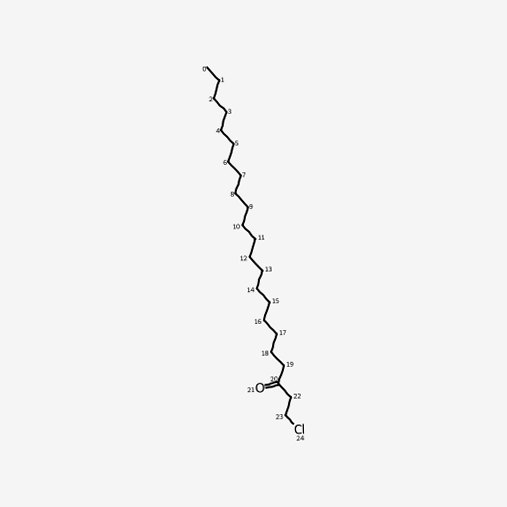 CCCCCCCCCCCCCCCCCCCCC(=O)CCCl